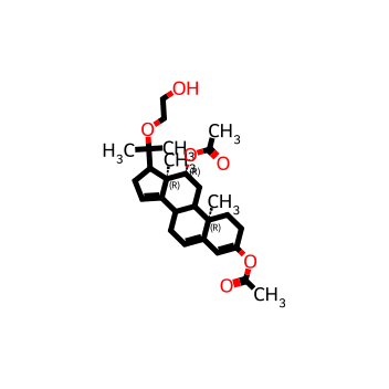 CC(=O)OC1=CC2=CCC3C4=CCC(C(C)(C)OCCO)[C@@]4(C)[C@H](OC(C)=O)CC3[C@@]2(C)CC1